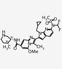 COc1cc(C(=O)N[C@H]2CNCC[C@H]2C)cc2nc(-c3cc4ccc(N(C(F)F)S(C)(=O)=O)nc4n3CC3CC3)c(C)n12